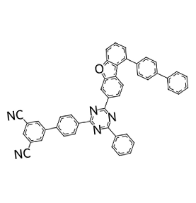 N#Cc1cc(C#N)cc(-c2ccc(-c3nc(-c4ccccc4)nc(-c4ccc5c(c4)oc4cccc(-c6ccc(-c7ccccc7)cc6)c45)n3)cc2)c1